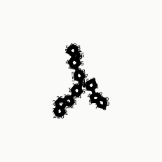 c1cc(-c2ccc3ccccc3c2)cc(N(c2ccc(-c3ccc4c(ccc5ccccc54)c3)cc2)c2ccc(-c3ccc4c(c3)sc3ccccc34)cc2)c1